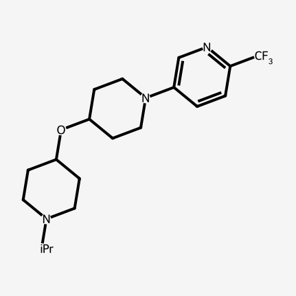 CC(C)N1CCC(OC2CCN(c3ccc(C(F)(F)F)nc3)CC2)CC1